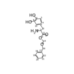 NC(Cc1ccc(O)c(O)c1)C(=O)OCOCc1ccccc1